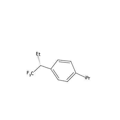 CC[C@H](c1ccc(C(C)C)cc1)C(F)(F)F